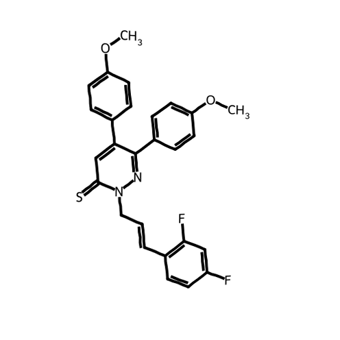 COc1ccc(-c2cc(=S)n(CC=Cc3ccc(F)cc3F)nc2-c2ccc(OC)cc2)cc1